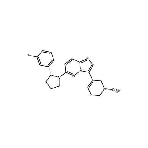 O=C(O)N1CCC=C(c2cnc3ccc(N4CCC[C@@H]4c4cccc(F)c4)nn23)C1